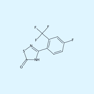 O=c1[nH]c(-c2ccc(F)cc2C(F)(F)F)ns1